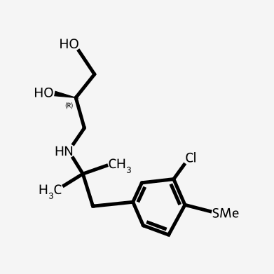 CSc1ccc(CC(C)(C)NC[C@@H](O)CO)cc1Cl